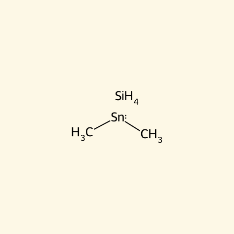 [CH3][Sn][CH3].[SiH4]